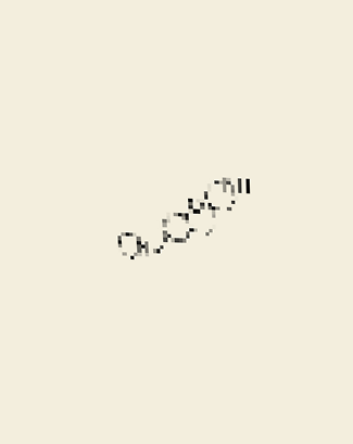 c1cc2c(cc1CN1CCCC1)CCC1(CCNCC1)O2